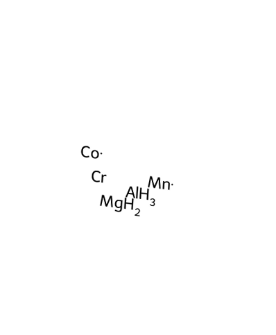 [AlH3].[Co].[Cr].[MgH2].[Mn]